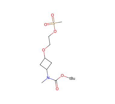 CN(C(=O)OC(C)(C)C)C1CC(OCCOS(C)(=O)=O)C1